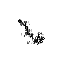 C=CCOC(=O)N1c2cc(OCCCC(=O)Nc3cn(C)c(C(=O)Nc4ccc(-c5cc(C(=O)Nc6ccccc6)n(C)c5)cc4)n3)c(OC)cc2C(=O)N2CCCC[C@H]2C1OC1CCCCO1